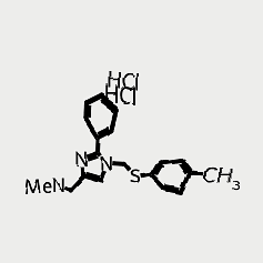 CNCc1cn(CSc2ccc(C)cc2)c(-c2ccccc2)n1.Cl.Cl